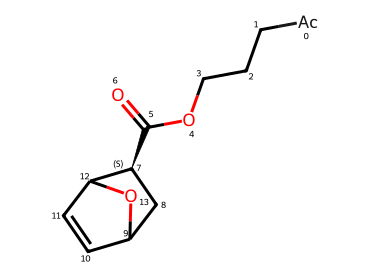 CC(=O)CCCOC(=O)[C@H]1CC2C=CC1O2